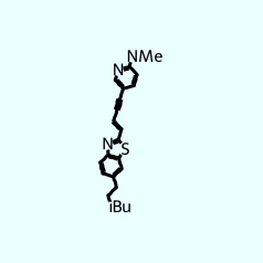 CCC(C)CCc1ccc2nc(/C=C/C#Cc3ccc(NC)nc3)sc2c1